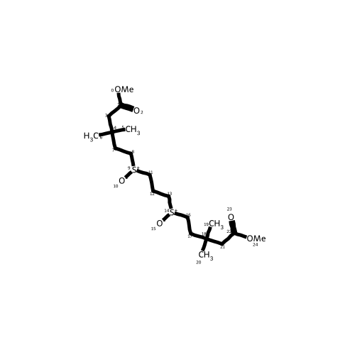 COC(=O)CC(C)(C)CC[S+]([O-])CCC[S+]([O-])CCC(C)(C)CC(=O)OC